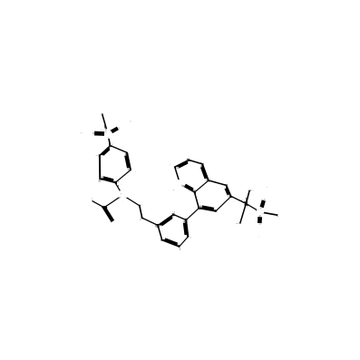 CC(=O)N(CCc1cccc(-c2cc(C(C)(C)S(C)(=O)=O)cc3cccnc23)c1)c1ccc(S(C)(=O)=O)cc1